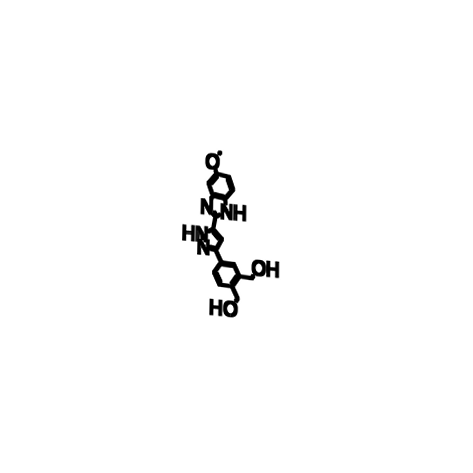 COc1ccc2[nH]c(-c3cc(-c4ccc(CO)c(CO)c4)n[nH]3)nc2c1